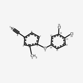 Cc1cc(C#N)ccc1Oc1ccc(Cl)c(Cl)c1